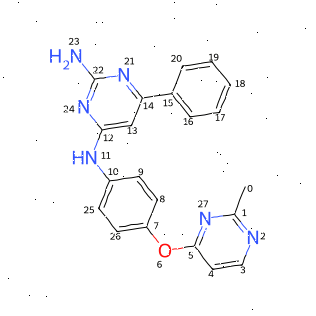 Cc1nccc(Oc2ccc(Nc3cc(-c4ccccc4)nc(N)n3)cc2)n1